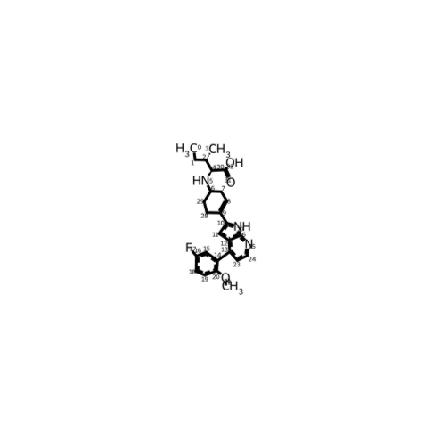 CC[C@H](C)[C@H](NC1CC=C(c2cc3c(-c4cc(F)ccc4OC)ccnc3[nH]2)CC1)C(=O)O